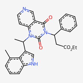 CCOC(=O)CC(c1ccccc1)n1c(=O)c2cnccc2n(C(C)c2c[nH]c3cccc(C)c23)c1=O